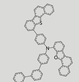 c1ccc(-c2cccc(-c3ccc(N(c4ccc(-c5cccc6c5sc5c7ccccc7ccc65)cc4)c4cccc5c4oc4c6ccccc6ccc54)cc3)c2)cc1